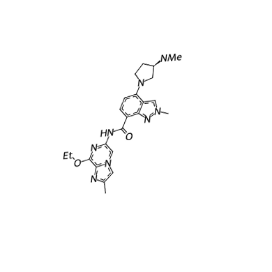 CCOc1nc(NC(=O)c2ccc(N3CC[C@@H](NC)C3)c3cn(C)nc23)cn2cc(C)nc12